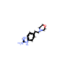 N=C(N)Nc1ccc(CCN2CCOCC2)cc1